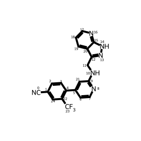 N#Cc1ccc(-c2ccnc(NCc3n[nH]c4ncccc34)c2)c(C(F)(F)F)c1